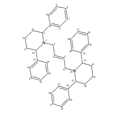 C(=CCN1C(c2ccccc2)CCCC1c1ccccc1)CN1C(c2ccccc2)CCCC1c1ccccc1